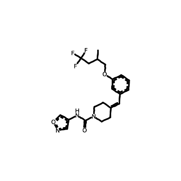 CC(COc1cccc(C=C2CCN(C(=O)Nc3cnoc3)CC2)c1)CC(F)(F)F